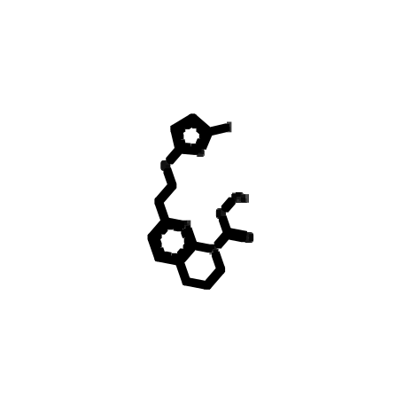 CC(C)(C)OC(=O)N1CCCc2ccc(CCOc3ccc(I)s3)nc21